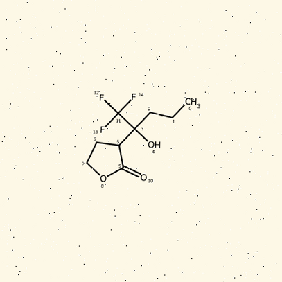 CCCC(O)(C1CCOC1=O)C(F)(F)F